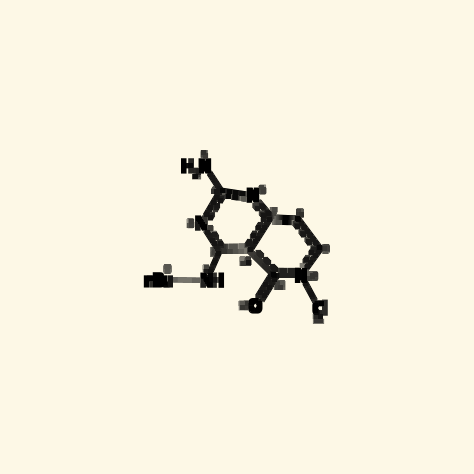 CCCCNc1nc(N)nc2ccn(Cl)c(=O)c12